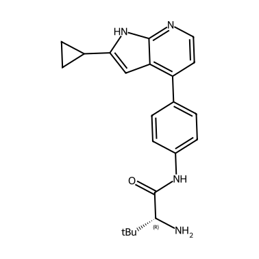 CC(C)(C)[C@@H](N)C(=O)Nc1ccc(-c2ccnc3[nH]c(C4CC4)cc23)cc1